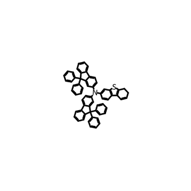 C1=Cc2c(sc3cc(N(c4ccc5c(c4)C(c4ccccc4)(c4ccccc4)c4ccccc4-5)c4ccc5c(c4)C(c4ccccc4)(c4ccccc4)c4ccccc4-5)ccc23)CC1